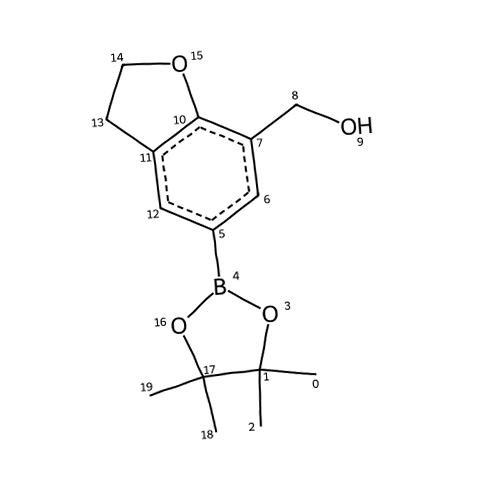 CC1(C)OB(c2cc(CO)c3c(c2)CCO3)OC1(C)C